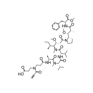 C#CC(=O)N(CCC(=O)O)CCC(=O)N[C@@H](C)C(=O)N(C)[C@H](C(=O)N[C@H](C(=O)N(C)[C@@H]([C@@H](C)CC)[C@@H](CC(=O)N1CCC[C@H]1[C@H](OC)[C@@H](C)C(=O)N[C@@H](Cc1ccccc1)C(=O)OC)OC)C(C)C)C(C)C